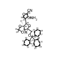 CC1(C)O[C@@H]2C(COC(c3ccccc3)(c3ccccc3)c3ccccc3)OC(c3coc(C#N)c3N)[C@]2(C)O1